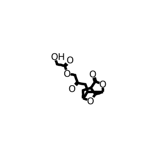 O=C(COC(=O)CO)CC1C2CC3C(=O)OC1C3O2